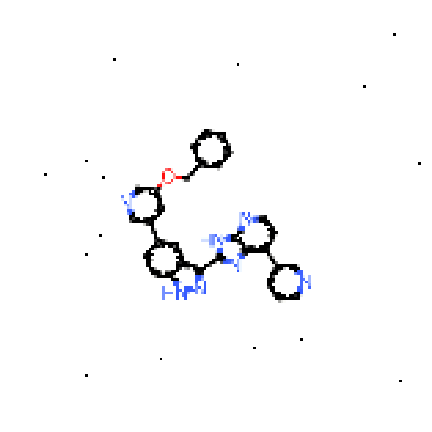 c1ccc(COc2cncc(-c3ccc4[nH]nc(-c5nc6c(-c7cccnc7)ccnc6[nH]5)c4c3)c2)cc1